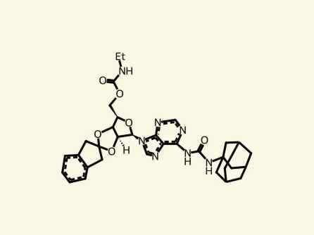 CCNC(=O)OC[C@H]1O[C@@H](n2cnc3c(NC(=O)NC45CC6CC(CC(C6)C4)C5)ncnc32)[C@H]2OC3(Cc4ccccc4C3)OC12